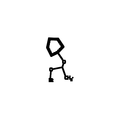 [CH2]C(OCC)Oc1ccccc1